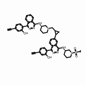 C#Cc1ccc(-c2nnc(N[C@@H]3CCCN(CC4CC4c4ccc5c(-c6ccc(C#C)cc6O)nnc(N[C@@H]6CCCN(S(=O)(=O)C7CC7)C6)c5c4)C3)c3ccccc23)c(O)c1